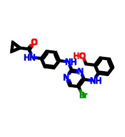 O=C(Nc1ccc(Nc2ncc(Br)c(Nc3ccccc3CO)n2)cc1)C1CC1